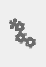 CS(=O)(=O)c1nccc(-c2cccc(C3OCCCO3)c2)n1